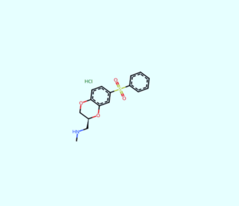 CNC[C@H]1COc2ccc(S(=O)(=O)c3ccccc3)cc2O1.Cl